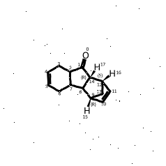 O=C1C2CC=CCC2C2[C@H]3C=C[C@H](C3)[C@@H]12